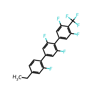 CCc1ccc(-c2cc(F)c(-c3cc(F)c(C(F)(F)F)c(F)c3)c(F)c2)c(F)c1